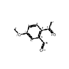 COc1ccc(C(C)=O)c(C=O)c1